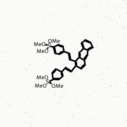 CO[Si](OC)(OC)c1ccc(C=Cc2ccc3cc4ccccc4cc3c2C=Cc2ccc([Si](OC)(OC)OC)cc2)cc1